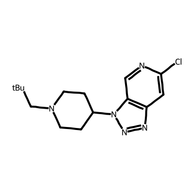 CC(C)(C)CN1CCC(n2nnc3cc(Cl)ncc32)CC1